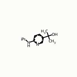 CC(C)Nc1ccc(C(C)(C)O)cn1